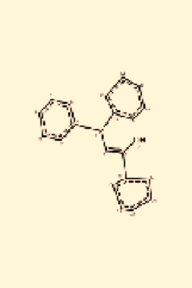 O/C(=C\P(c1ccccc1)c1ccccc1)c1ccccc1